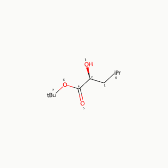 CC(C)C[C@H](O)C(=O)OC(C)(C)C